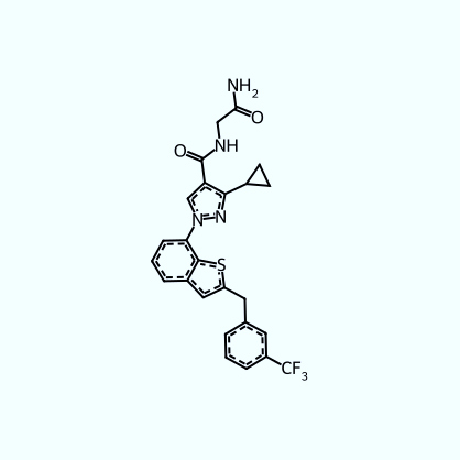 NC(=O)CNC(=O)c1cn(-c2cccc3cc(Cc4cccc(C(F)(F)F)c4)sc23)nc1C1CC1